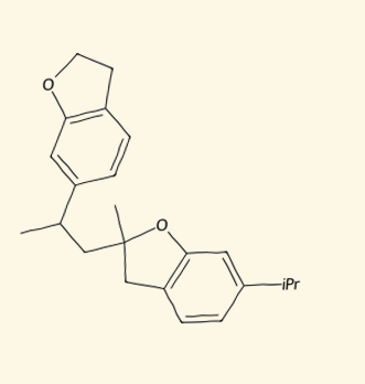 CC(C)c1ccc2c(c1)OC(C)(CC(C)c1ccc3c(c1)OCC3)C2